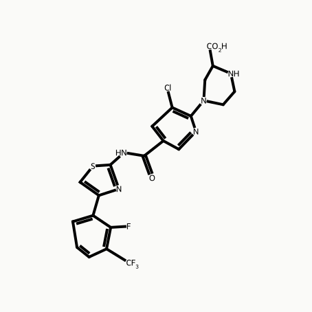 O=C(Nc1nc(-c2cccc(C(F)(F)F)c2F)cs1)c1cnc(N2CCNC(C(=O)O)C2)c(Cl)c1